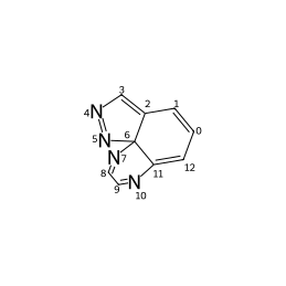 C1=CC2=CN=NC23N=CC=NC3=C1